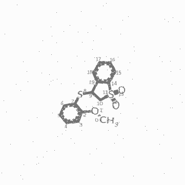 COc1ccccc1SC1CS(=O)(=O)c2ccccc21